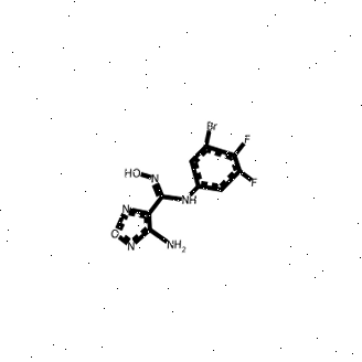 Nc1nonc1/C(=N\O)Nc1cc(F)c(F)c(Br)c1